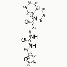 O=C(NCCC(=O)N1CCCC2CCCC=C21)NCc1ccco1